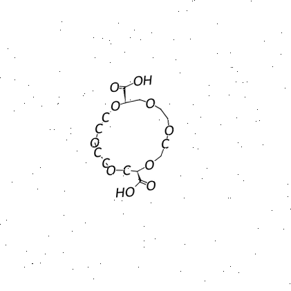 O=C(O)[C@H]1COCCOCCO[C@@H](C(=O)O)COCCOCCO1